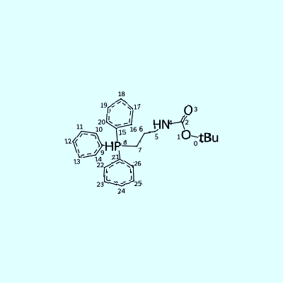 CC(C)(C)OC(=O)NCCC[PH](c1ccccc1)(c1ccccc1)c1ccccc1